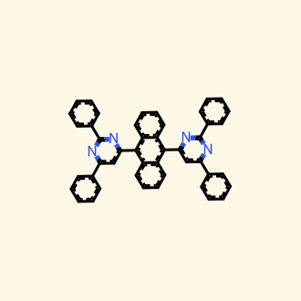 c1ccc(-c2cc(-c3c4ccccc4c(-c4cc(-c5ccccc5)nc(-c5ccccc5)n4)c4ccccc34)nc(-c3ccccc3)n2)cc1